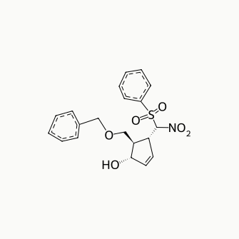 O=[N+]([O-])C([C@@H]1C=C[C@H](O)[C@H]1COCc1ccccc1)S(=O)(=O)c1ccccc1